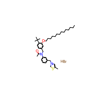 Br.CCCCCCCCCCCCCCOc1cc(CN(C(C)=O)c2cccc(CN3C=C(C)SC3)c2)ccc1C(C)(C)C